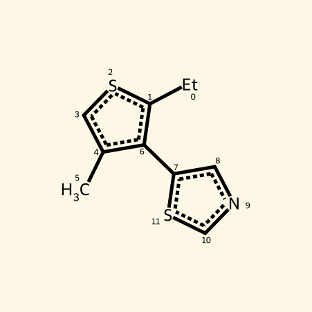 CCc1scc(C)c1-c1cncs1